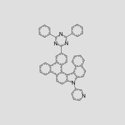 c1ccc(-c2nc(-c3ccccc3)nc(-c3ccc4c(c3)c3ccccc3c3ccc5c(c34)c3c4ccccc4ccc3n5-c3cccnc3)n2)cc1